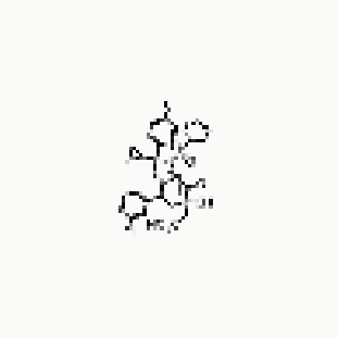 CC1(CC(=O)O)CC(c2cccc(Cl)c2)C(CC(NS(=O)(=O)c2cccs2)(c2ccc(Cl)cc2)C2CC2)NC1=O